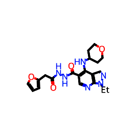 CCn1ncc2c(NC3CCOCC3)c(C(=O)NNC(=O)Cc3ccco3)cnc21